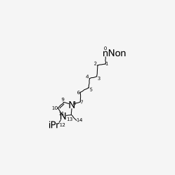 CCCCCCCCCCCCCCCCN1C=CN(C(C)C)C1C